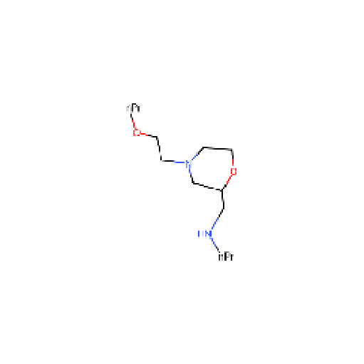 CCCNCC1CN(CCOCCC)CCO1